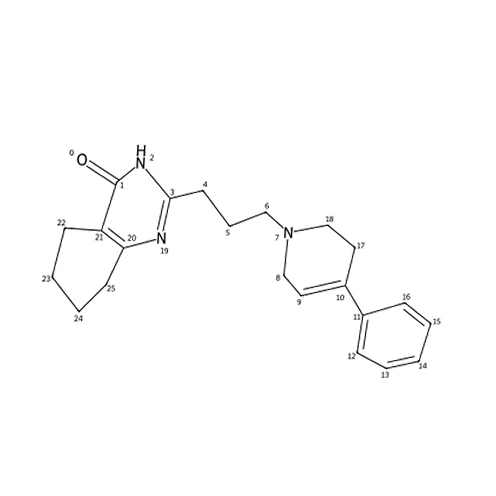 O=c1[nH]c(CCCN2CC=C(c3ccccc3)CC2)nc2c1CCCC2